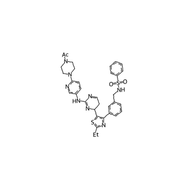 CCc1nc(-c2cccc(CNS(=O)(=O)c3ccccc3)c2)c(C2CC=NC(Nc3ccc(N4CCN(C(C)=O)CC4)nc3)=N2)s1